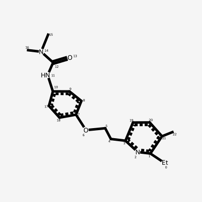 CCc1nc(CCOc2ccc(NC(=O)N(C)C)cc2)ccc1C